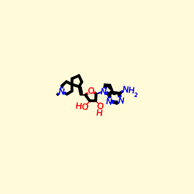 CN1CCC2(CCC/C2=C\[C@H]2O[C@@H](n3ccc4c(N)ncnc43)[C@H](O)[C@@H]2O)CC1